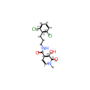 Cn1ccc(C(=O)NCCCc2c(Cl)cccc2Cl)c(O)c1=O